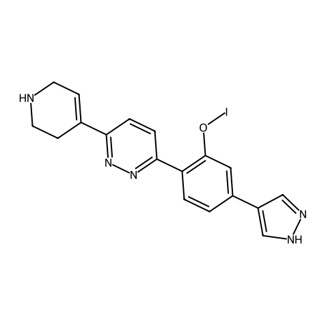 IOc1cc(-c2cn[nH]c2)ccc1-c1ccc(C2=CCNCC2)nn1